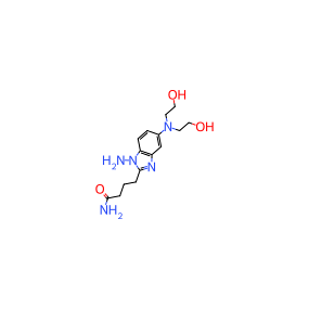 NC(=O)CCCc1nc2cc(N(CCO)CCO)ccc2n1N